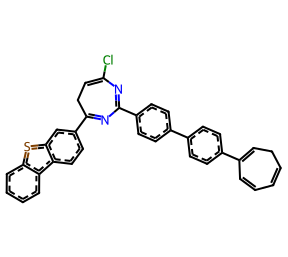 ClC1=CCC(c2ccc3c(c2)sc2ccccc23)=NC(c2ccc(-c3ccc(C4=CCC=CC=C4)cc3)cc2)=N1